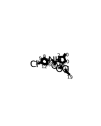 C=C1C[C@H](C(=O)Nc2ccc(Cl)cc2)[C@@H](C(=O)OCC)C1